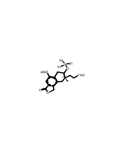 CC[Si](CC)(CC)OC1Cc2c(OC)cc3c(c2C[C@@]1(C)CCC=O)COC3=O